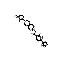 CC1=C(N2CCC3(CCN(C[C@H](O)c4ccc(-n5cnnn5)nc4C)CC3)CC2)CCC1=O